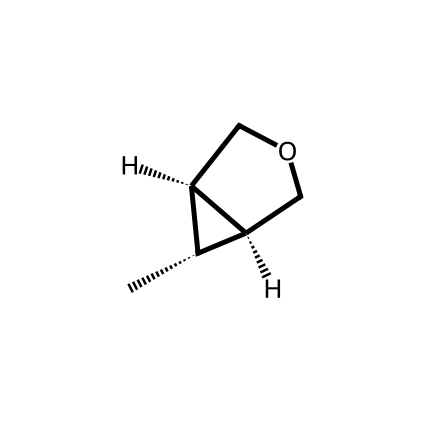 C[C@@H]1[C@H]2COC[C@@H]12